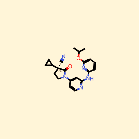 CC(C)Oc1cccc(Nc2cc(N3CC[C@@](C#N)(C4CC4)C3=O)ccn2)n1